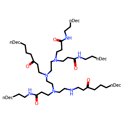 CCCCCCCCCCCCCC(=O)CCNCCN(CCC(=O)NCCCCCCCCCCCC)CCN(CCC(=O)CCCCCCCCCCCCC)CCN(CCC(=O)NCCCCCCCCCCCC)CCC(=O)NCCCCCCCCCCCC